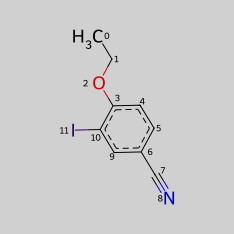 CCOc1ccc(C#N)cc1I